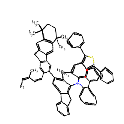 CC/C=C(C)\C=C/c1cc2c(cc1-c1cc3c(c(N(c4cc5c(-c6ccccc6)sc(-c6ccccc6)c5cc4C)c4ccccc4-c4ccccc4)c1C)Cc1ccccc1-3)-c1cc3c(cc1C2)C(C)(C)CCC3(C)C